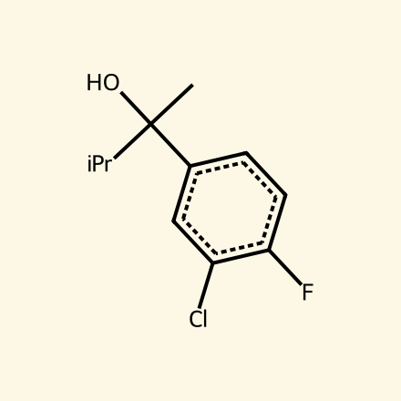 CC(C)C(C)(O)c1ccc(F)c(Cl)c1